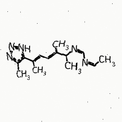 C/C=N\C=N/[C@@H](C)/C(C)=C/C=C(\C)c1[nH]nnc1C